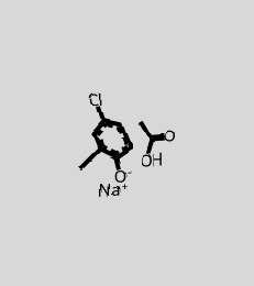 CC(=O)O.Cc1cc(Cl)ccc1[O-].[Na+]